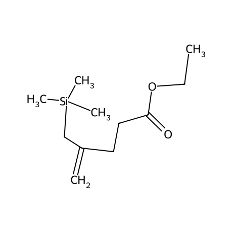 C=C(CCC(=O)OCC)C[Si](C)(C)C